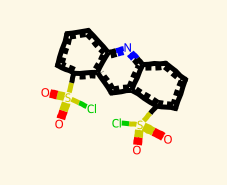 O=S(=O)(Cl)c1cccc2nc3cccc(S(=O)(=O)Cl)c3cc12